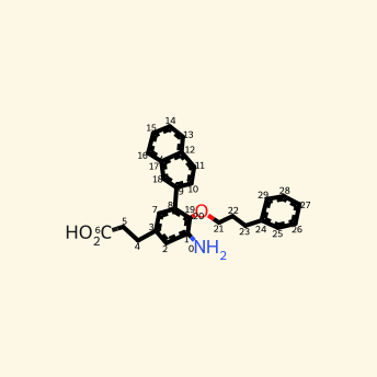 Nc1cc(CCC(=O)O)cc(-c2ccc3ccccc3c2)c1OCCCc1ccccc1